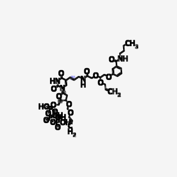 C=CCOCOC1C[C@H](n2cc(/C=C/CNC(=O)COC(COc3cccc(C(=O)NCCCC)c3)OCC=C)c(=O)[nH]c2=O)O[C@@H]1COP(=O)(O)OP(=O)(O)OP(=O)(O)O